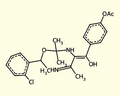 CC(=N)/C(NC(C)(C)OC(C)c1ccccc1Cl)=C(\O)c1ccc(OC(C)=O)cc1